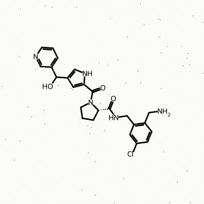 NCc1ccc(Cl)cc1CNC(=O)[C@@H]1CCCN1C(=O)c1cc(C(O)c2cccnc2)c[nH]1